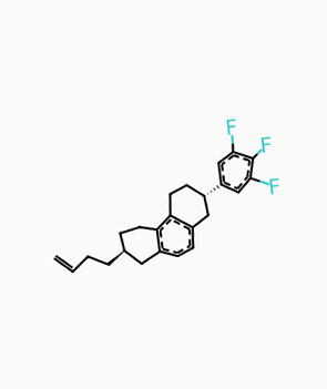 C=CCC[C@H]1CCc2c(ccc3c2CC[C@H](c2cc(F)c(F)c(F)c2)C3)C1